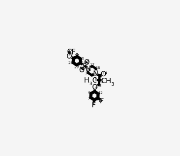 CC(C)(COc1ccc(F)c(F)c1)C(=O)N1CCN(S(=O)(=O)c2ccc(OC(F)(F)F)cc2)CC1